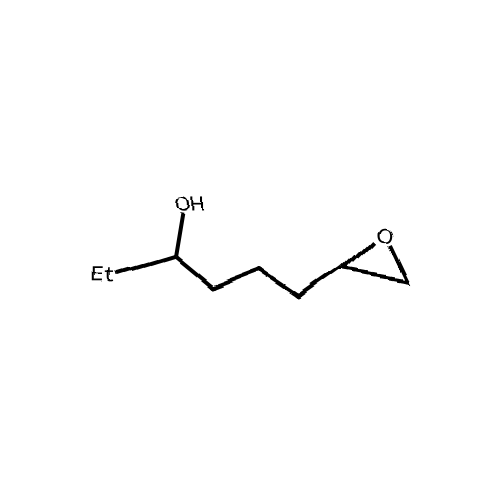 CCC(O)CCCC1CO1